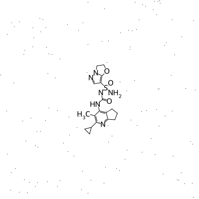 Cc1c(C2CC2)nc2c(c1NC(=O)N=S(N)(=O)c1cnn3c1OCC3)CCC2